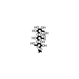 CC(C)(C)OC1OC(CO)C(OC2OC(CO)C(O)C(OC3OC(CO)C(O)C(O)C3O)C2O)C(O)C1O